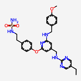 CCc1cnc(NCc2cc(NCc3ccc(OC)cc3)nc(Oc3ccc(CCNS(N)(=O)=O)cc3)c2)nc1